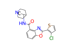 O=C(NC1CN2CCC1CC2)c1cccc2oc(-c3sccc3Cl)nc12